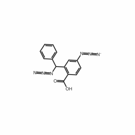 [N-]=[N+]=Nc1ccc(C(=O)O)c(C(N=[N+]=[N-])c2ccccc2)c1